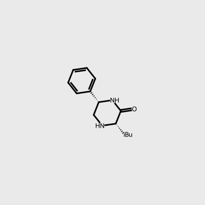 CCC(C)[C@@H]1NC[C@H](c2ccccc2)NC1=O